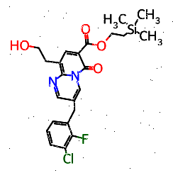 C[Si](C)(C)CCOC(=O)c1cc(CCO)c2ncc(Cc3cccc(Cl)c3F)cn2c1=O